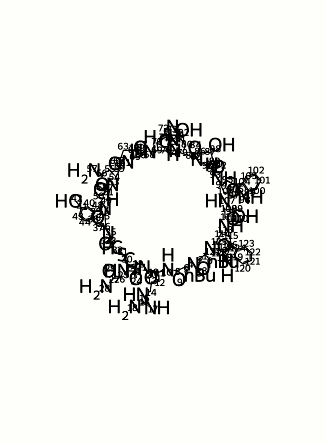 CCCC[C@H]1C(=O)N(C)[C@@H](CCCC)C(=O)N[C@@H](CCCNC(=N)N)C(=O)NC(C(=O)NCC(N)=O)CSCC(=O)N[C@@H](Cc2ccc(O)cc2)C(=O)N(C)[C@@H](C)C(=O)N[C@@H](CC(N)=O)C(=O)N2CCC[C@H]2C(=O)N[C@@H](Cc2cnc[nH]2)C(=O)N[C@@H](CCO)C(=O)N2C[C@H](O)C[C@H]2C(=O)N[C@@H](Cc2c[nH]c3ccccc23)C(=O)N[C@@H](CO)C(=O)N[C@@H](Cc2c[nH]c3ccccc23)C(=O)N1C